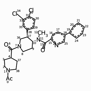 CC(=O)N1CCC(C(=O)N2CC[C@@H](N(C)C(=O)c3ccc(-c4ccccc4)cn3)[C@H](c3ccc(Cl)c(Cl)c3)C2)CC1